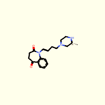 C[C@@H]1CN(CCCCN2C(=O)CCC(=O)c3ccccc32)CCN1